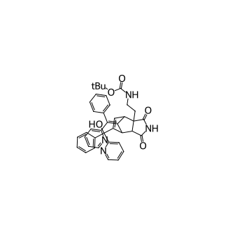 CC(C)(C)OC(=O)NCCC12C(=O)NC(=O)C1C1C(C(O)(c3ccccc3)c3ccccn3)=CC2C1=C(c1ccccc1)c1ccccn1